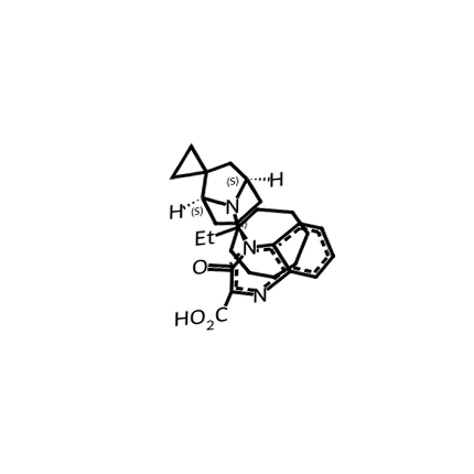 CCC1(N2[C@@H]3C[C@@H](n4c(=O)c(C(=O)O)nc5ccccc54)C[C@H]2C2(CC2)C3)CCCCCCC1